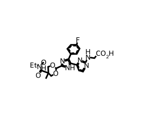 CCN(O)C(=O)C1(C)COC(c2nc(-c3ccc(F)cc3)c(-c3ccnc(NCC(=O)O)n3)[nH]2)OC1